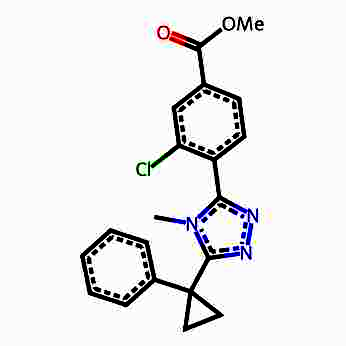 COC(=O)c1ccc(-c2nnc(C3(c4ccccc4)CC3)n2C)c(Cl)c1